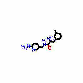 Cc1cccc(C[C@H](N)C(=O)NCc2ccc(N)nc2)c1